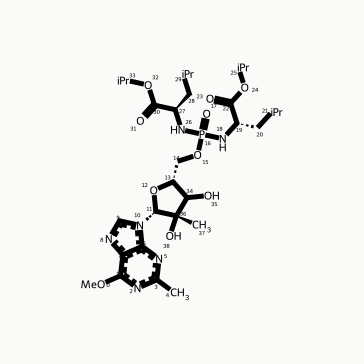 COc1nc(C)nc2c1ncn2[C@@H]1O[C@H](COP(=O)(N[C@@H](CC(C)C)C(=O)OC(C)C)N[C@H](CC(C)C)C(=O)OC(C)C)C(O)[C@]1(C)O